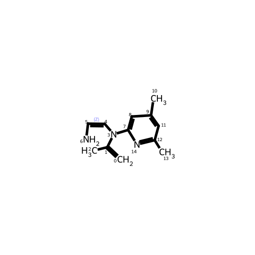 C=C(C)N(/C=C\N)c1cc(C)cc(C)n1